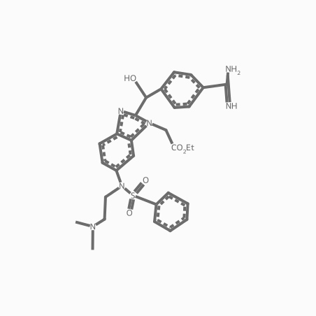 CCOC(=O)Cn1c(C(O)c2ccc(C(=N)N)cc2)nc2ccc(N(CCN(C)C)S(=O)(=O)c3ccccc3)cc21